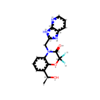 C[C@H](O)c1cccc2c1OC(F)(F)C(=O)N2Cc1nc2cccnc2[nH]1